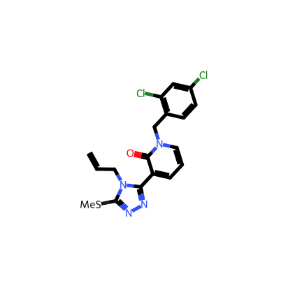 C=CCn1c(SC)nnc1-c1cccn(Cc2ccc(Cl)cc2Cl)c1=O